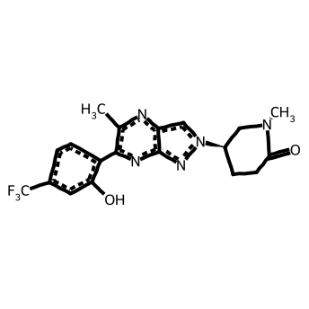 Cc1nc2cn([C@@H]3CCC(=O)N(C)C3)nc2nc1-c1ccc(C(F)(F)F)cc1O